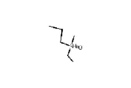 CCC[SH](C)(=O)CC